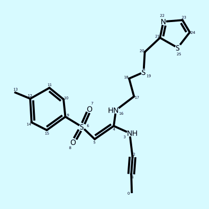 CC#CN/C(=C/S(=O)(=O)c1ccc(C)cc1)NCCSCc1nccs1